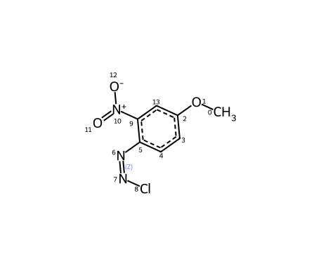 COc1ccc(/N=N\Cl)c([N+](=O)[O-])c1